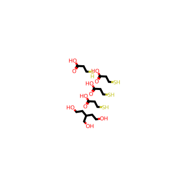 O=C(O)CCS.O=C(O)CCS.O=C(O)CCS.O=C(O)CCS.OCCC(CO)CCO